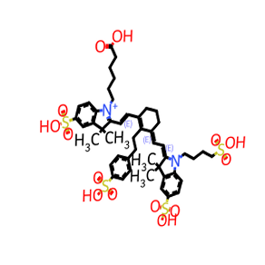 CC1(C)C(/C=C/C2=C(CCc3ccc(S(=O)(=O)O)cc3)C(=C/C=C3/N(CCCCS(=O)(=O)O)c4ccc(S(=O)(=O)O)cc4C3(C)C)/CCC2)=[N+](CCCCCC(=O)O)c2ccc(S(=O)(=O)O)cc21